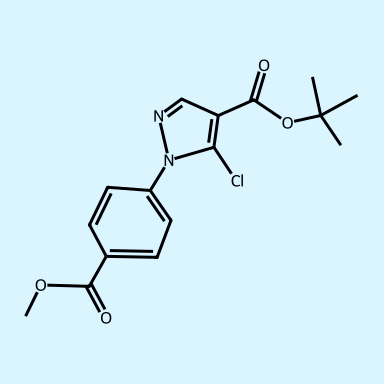 COC(=O)c1ccc(-n2ncc(C(=O)OC(C)(C)C)c2Cl)cc1